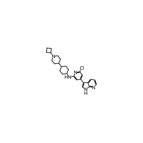 Clc1cc(-c2c[nH]c3ncccc23)cc(NC2CCC(C3CCN(C4CCC4)CC3)CC2)n1